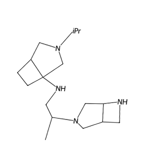 CC(C)N1CC2CCC2(NCC(C)N2CC3CNC3C2)C1